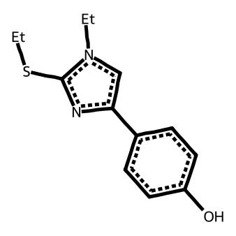 CCSc1nc(-c2ccc(O)cc2)cn1CC